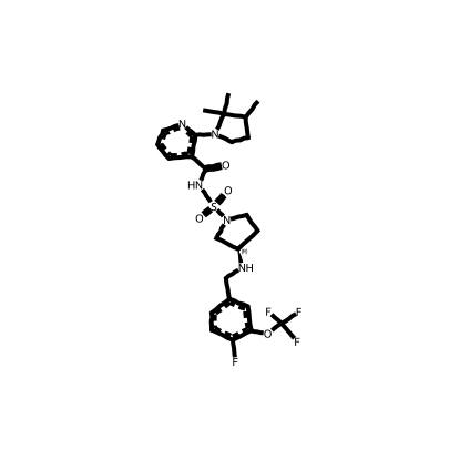 CC1CCN(c2ncccc2C(=O)NS(=O)(=O)N2CC[C@@H](NCc3ccc(F)c(OC(F)(F)F)c3)C2)C1(C)C